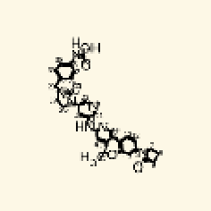 C[C@@H]1Oc2cc(N3CCCC3=O)ccc2-c2cnc(Nc3cncc(N4CCN(Cc5ccc(NC(=O)O)cc5)C4=O)c3)cc21